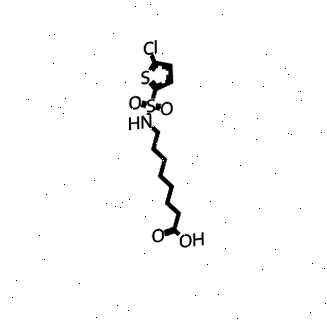 O=C(O)CCCCCCCNS(=O)(=O)c1ccc(Cl)s1